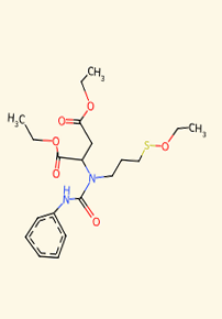 CCOSCCCN(C(=O)Nc1ccccc1)C(CC(=O)OCC)C(=O)OCC